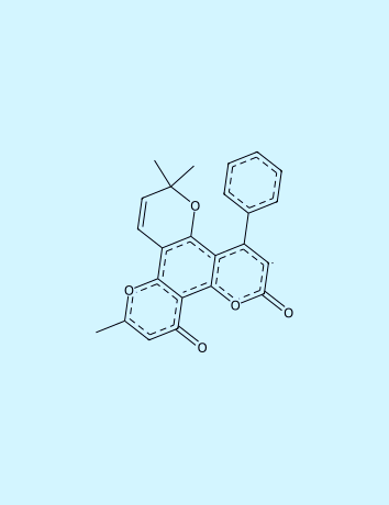 Cc1cc(=O)c2c(o1)c1c(c3c(-c4ccccc4)[c]c(=O)oc32)OC(C)(C)C=C1